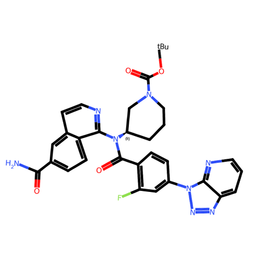 CC(C)(C)OC(=O)N1CCC[C@@H](N(C(=O)c2ccc(-n3nnc4cccnc43)cc2F)c2nccc3cc(C(N)=O)ccc23)C1